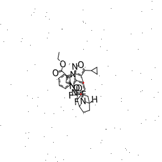 CCOC(=O)c1cn2nc(N3C4CC[C@H]3CC(OCc3c(-c5ccccc5OC(F)(F)F)noc3C3CC3)C4)ccc2n1